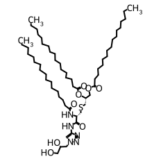 CCCCCCCCCCCCCCCCC(=O)N[C@H](CSC[C@@H](COC(=O)CCCCCCCCCCCCCCCC)OC(=O)CCCCCCCCCCCCCCCC)C(=O)Nc1cn(C[C@@H](O)CO)nn1